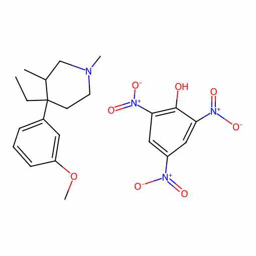 CCC1(c2cccc(OC)c2)CCN(C)CC1C.O=[N+]([O-])c1cc([N+](=O)[O-])c(O)c([N+](=O)[O-])c1